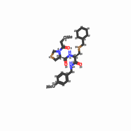 COCC(=O)N1CSC[C@H]1C(=O)N[C@@H](CSCC1CCCCC1)C(=O)NCc1ccc(OC)cc1